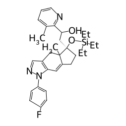 CC[Si](CC)(CC)O[C@@]1(CC(O)c2ncccc2C)CCC2=Cc3c(cnn3-c3ccc(F)cc3)CC21C